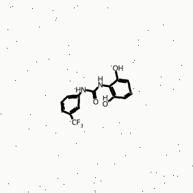 O=C(Nc1cccc(C(F)(F)F)c1)Nc1c(O)cccc1O